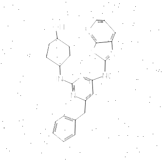 OC1CCC(Nc2nc(Cc3ccccc3)cc(Nc3nc4cccnc4s3)n2)CC1